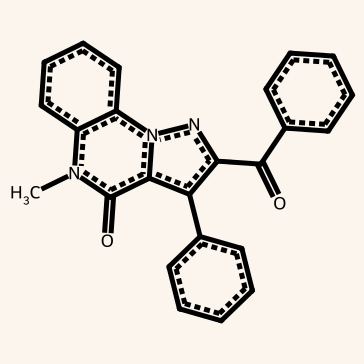 Cn1c(=O)c2c(-c3ccccc3)c(C(=O)c3ccccc3)nn2c2ccccc21